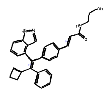 O=C(/C=C/c1ccc(/C(=C(\c2ccccc2)C2CCC2)c2cccc3[nH]ncc23)cc1)NCCO